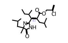 C=C(Cl)COC(=O)/C(CC(C)C)=C(/C1=NC(C)(CC(C)C)C(=O)N1)C(C)CC